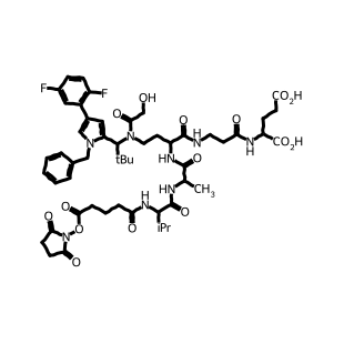 CC(NC(=O)C(NC(=O)CCCC(=O)ON1C(=O)CCC1=O)C(C)C)C(=O)NC(CCN(C(=O)CO)C(c1cc(-c2cc(F)ccc2F)cn1Cc1ccccc1)C(C)(C)C)C(=O)NCCC(=O)NC(CCC(=O)O)C(=O)O